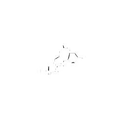 C[C@@H](Nc1ncc2c(n1)-c1ccc(Cl)cc1NC(=O)C2)C(=O)O